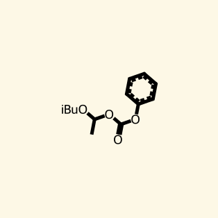 CC(C)COC(C)OC(=O)Oc1ccccc1